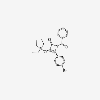 CC[Si](CC)(CC)O[C@H]1C(=O)N(C(=O)c2ccccc2)[C@H]1c1ccc(Br)cc1